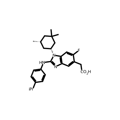 CC(C)c1ccc(Nc2nc3cc(CC(=O)O)c(F)cc3n2[C@@H]2C[C@H](C)CC(C)(C)C2)cc1